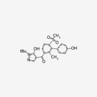 Cc1c(C(=O)c2cnn(C(C)(C)C)c2O)ccc(S(C)(=O)=O)c1-c1ccc(O)cc1